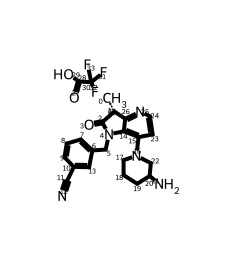 C[C@H]1C(=O)N(Cc2cccc(C#N)c2)c2c(N3CCCC(N)C3)ccnc21.O=C(O)C(F)(F)F